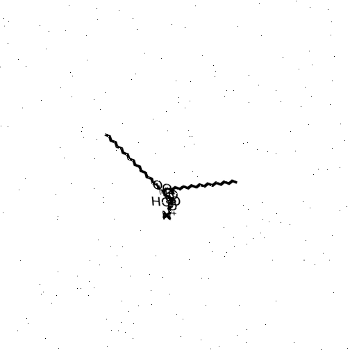 CCCCCCCCCCCCCCCCCOC[C@H](COP(=O)(O)OCC[N+](C)(C)C)OC(=O)CCCCCCCCCCCCCCCC